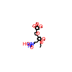 CCCOc1c(CC=CNC(=O)N(C)O)cc(C2CCC(c3cc(OC)c(OC)c(OC)c3)O2)cc1OC